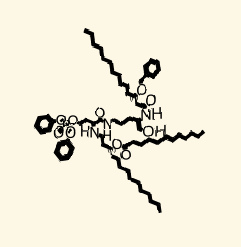 CCCCCCCCCCCC(=O)O[C@H](CCCCCCCCCCC)CCNC(CCOP(=O)(Oc1ccccc1)Oc1ccccc1)C(=O)NCCCC(CO)NC(=O)C[C@@H](CCCCCCCCCCC)OCc1ccccc1